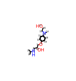 CC(C)NCC(O)COc1ccc(N(C)CCO)cc1